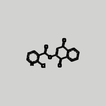 O=C1C=C(OC(=O)c2cccnc2Cl)C(=O)c2ccccc21